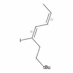 C/C=C\C=C(\I)CCC(C)(C)C